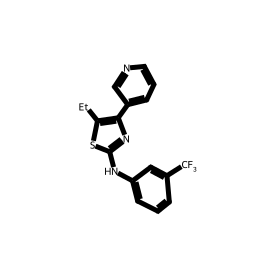 CCc1sc(Nc2cccc(C(F)(F)F)c2)nc1-c1cccnc1